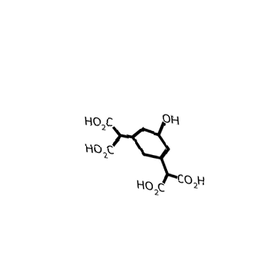 O=C(O)C(C(=O)O)C1CC(O)CC(C(C(=O)O)C(=O)O)C1